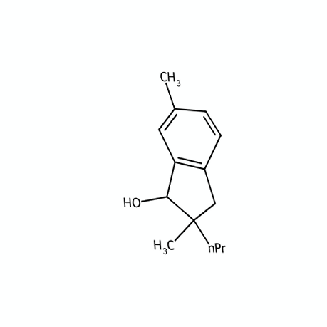 CCCC1(C)Cc2ccc(C)cc2C1O